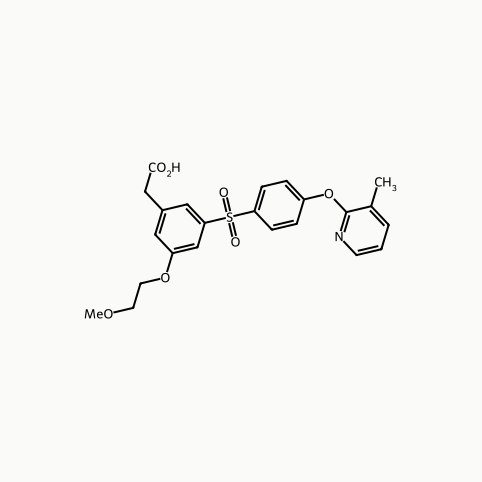 COCCOc1cc(CC(=O)O)cc(S(=O)(=O)c2ccc(Oc3ncccc3C)cc2)c1